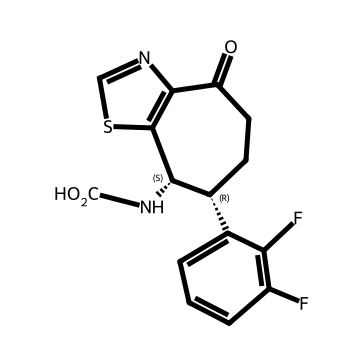 O=C(O)N[C@@H]1c2scnc2C(=O)CC[C@@H]1c1cccc(F)c1F